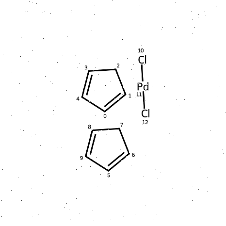 C1=CCC=C1.C1=CCC=C1.[Cl][Pd][Cl]